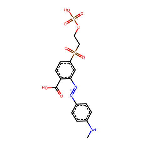 CNc1ccc(/N=N/c2cc(S(=O)(=O)CCOS(=O)(=O)O)ccc2C(=O)O)cc1